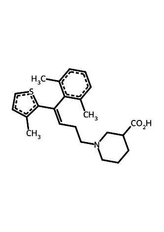 Cc1ccsc1C(=CCCN1CCCC(C(=O)O)C1)c1c(C)cccc1C